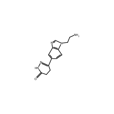 NCCn1cnc2cc(C3=NNC(=O)CC3)ccc21